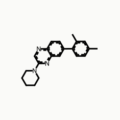 Cc1ccc(-c2ccc3ncc(N4CCCCC4)nc3c2)c(C)c1